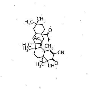 CC(=O)/C=C1/[C@@]2(C)C=C(C#N)C(=O)C(C)(C)[C@@H]2CC[C@@]1(C)[C@]1(C)CC[C@@]2(C(=O)F)CCC(C)(C)CC2C1